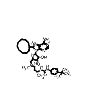 C[C@H](CCN(C)CC1OC(N2c3ncnc(N)c3NC2C2CCCCCCCCC2)[C@H](O)[C@@H]1O)NC(=O)Nc1ccc(C(C)(C)C)cc1